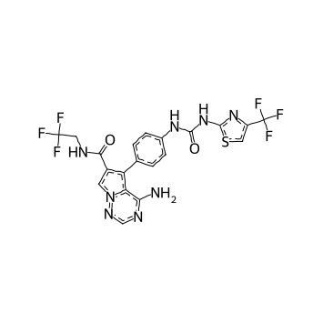 Nc1ncnn2cc(C(=O)NCC(F)(F)F)c(-c3ccc(NC(=O)Nc4nc(C(F)(F)F)cs4)cc3)c12